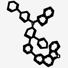 C1=CC(C2=CC(N(C3=CCC(C4=CCCC=C4)C=C3)c3ccc4ccccc4c3)CC=C2c2cccc(-c3ccc4ccc5oc6ccccc6c5c4c3)c2)=CCC1